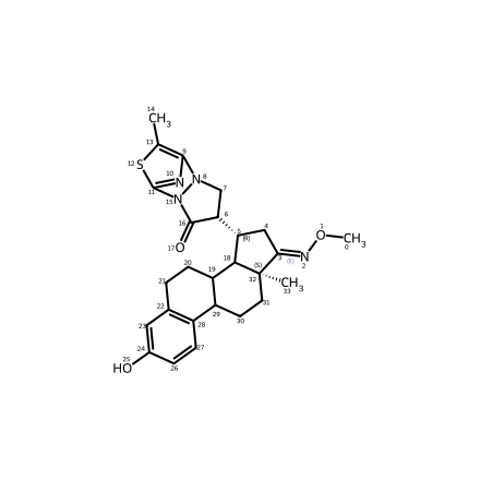 CO/N=C1\C[C@@H](C2CN3c4nc(sc4C)N3C2=O)C2C3CCc4cc(O)ccc4C3CC[C@]12C